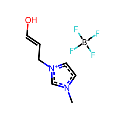 Cn1cc[n+](CC=CO)c1.F[B-](F)(F)F